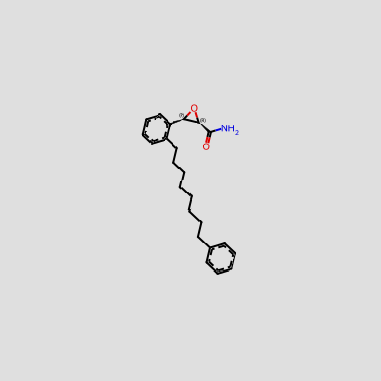 NC(=O)[C@@H]1O[C@@H]1c1ccccc1CCCCCCCCc1ccccc1